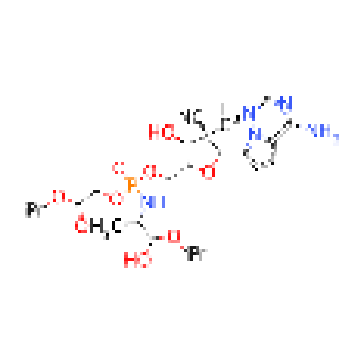 CC(C)OC(=O)COP(=O)(N[C@@H](C)C(O)OC(C)C)OC[C@H]1O[C@@H](c2ccc3c(N)ncnn23)[C@](C)(C#N)[C@@H]1O